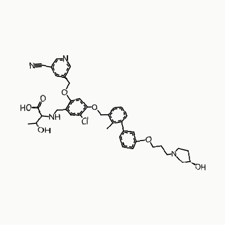 Cc1c(COc2cc(OCc3cncc(C#N)c3)c(CNC(C(=O)O)C(C)O)cc2Cl)cccc1-c1cccc(OCCCN2CC[C@@H](O)C2)c1